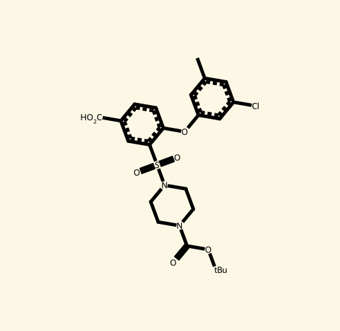 Cc1cc(Cl)cc(Oc2ccc(C(=O)O)cc2S(=O)(=O)N2CCN(C(=O)OC(C)(C)C)CC2)c1